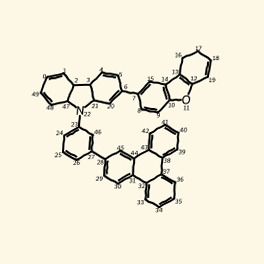 C1=CC2C3C=CC(c4ccc5oc6c(c5c4)CCC=C6)=CC3N(c3cccc(-c4ccc5c6ccccc6c6ccccc6c5c4)c3)C2C=C1